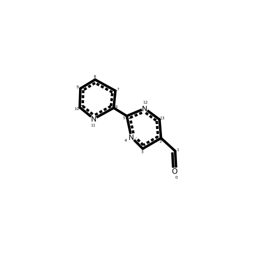 O=Cc1cnc(-c2ccccn2)nc1